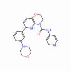 O=C(NC1=CCNC=C1)N1CCOC2=C1NC(c1cccc(N3CCOCC3)c1)C=C2